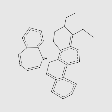 C1=CNc2ccccc2C=N1.CCC1=c2ccc3c(c2CCC1CC)CC=c1ccccc1=3